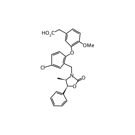 COc1ccc(CC(=O)O)cc1Oc1ccc(Cl)cc1CN1C(=O)O[C@@H](c2ccccc2)[C@H]1C